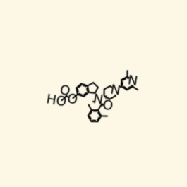 Cc1cc(N2CCC([N+](C)(C(=O)c3c(C)cccc3C)C3CCc4ccc(OC(=O)O)cc43)CC2)cc(C)n1